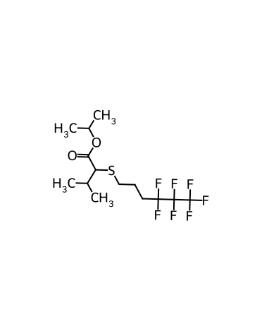 CC(C)OC(=O)C(SCCCC(F)(F)C(F)(F)C(F)(F)F)C(C)C